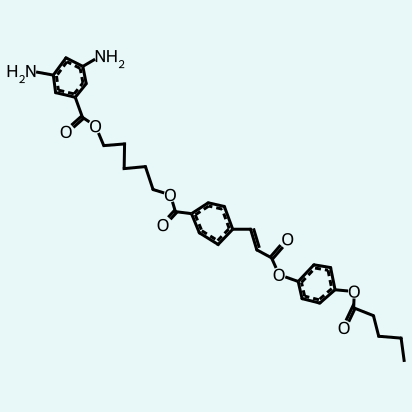 CCCCC(=O)Oc1ccc(OC(=O)C=Cc2ccc(C(=O)OCCCCCOC(=O)c3cc(N)cc(N)c3)cc2)cc1